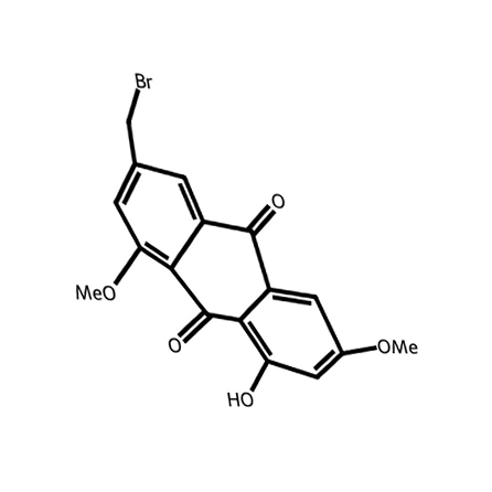 COc1cc(O)c2c(c1)C(=O)c1cc(CBr)cc(OC)c1C2=O